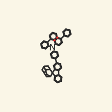 c1ccc(-c2ccc(N(c3ccc(-c4ccc5c(c4)C4(c6ccccc6-5)C5CC6CC(C5)CC4C6)cc3)c3ccccc3-c3ccccc3)cc2)cc1